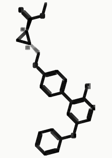 COC(=O)[C@@H]1C[C@H]1COc1ccc(-c2cc(Oc3ccccc3)cnc2Cl)cc1